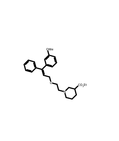 CCOC(=O)C1CCCN(CCOCC=C(c2ccccc2)c2cccc(OC)c2)C1